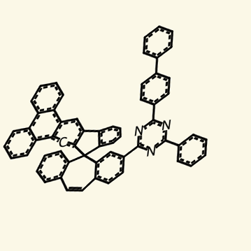 C1=Cc2ccc(-c3nc(-c4ccccc4)nc(-c4ccc(-c5ccccc5)cc4)n3)cc2C2(c3ccccc31)c1ccccc1-c1cc3c4ccccc4c4ccccc4c3cc12